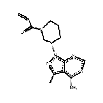 C=CC(=O)N1CCC[C@H](n2nc(C)c3c(N)ncnc32)C1